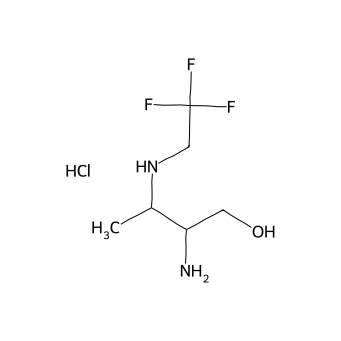 CC(NCC(F)(F)F)C(N)CO.Cl